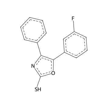 Fc1cccc(-c2oc(S)nc2-c2ccccc2)c1